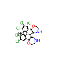 Cl.O=C(O)C([C@@H]1CNCCO[C@H]1c1ccc(Cl)c(Cl)c1)[C@@H]1CNCCO[C@H]1c1ccc(Cl)c(Cl)c1